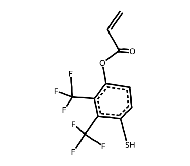 C=CC(=O)Oc1ccc(S)c(C(F)(F)F)c1C(F)(F)F